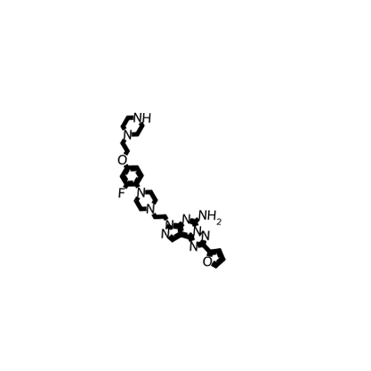 Nc1nc2c(cnn2CCN2CCN(c3ccc(OCCN4CCNCC4)cc3F)CC2)c2nc(-c3ccco3)nn12